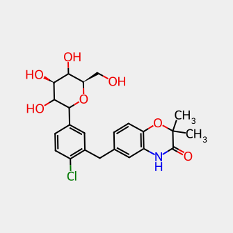 CC1(C)Oc2ccc(Cc3cc(C4O[C@H](CO)C(O)[C@H](O)C4O)ccc3Cl)cc2NC1=O